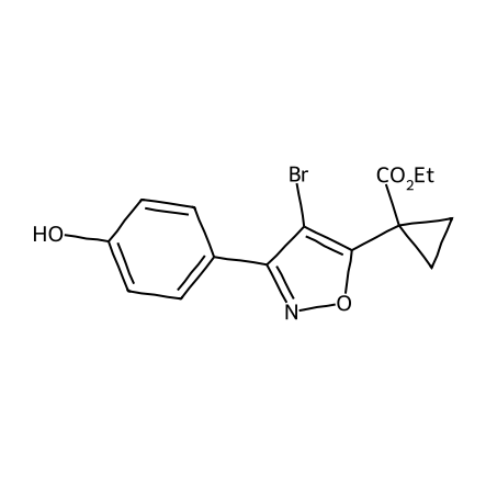 CCOC(=O)C1(c2onc(-c3ccc(O)cc3)c2Br)CC1